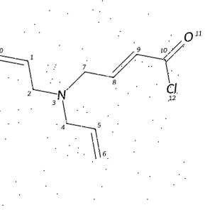 C=CCN(CC=C)CC=CC(=O)Cl